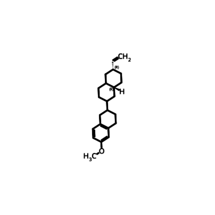 C=C[C@@H]1CC[C@@H]2CC(C3CCc4cc(OC)ccc4C3)CCC2C1